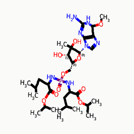 COC1NC(N)=Nc2c1ncn2[C@@H]1O[C@H](COP(=O)(NC(CC(C)C)C(=O)OC(C)C)NC(CC(C)C)C(=O)OC(C)C)[C@H](O)C1(C)O